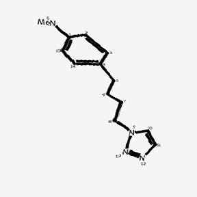 CNc1ccc(CCCCn2ccnn2)cc1